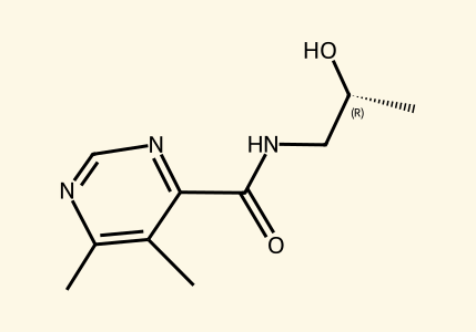 Cc1ncnc(C(=O)NC[C@@H](C)O)c1C